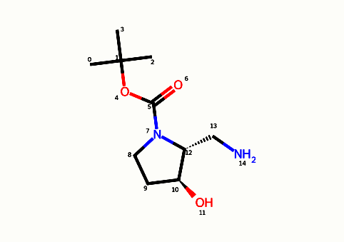 CC(C)(C)OC(=O)N1CC[C@H](O)[C@H]1CN